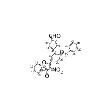 O=Cc1ccc(-c2cc(-c3oc4ccccc4c(=O)c3[N+](=O)[O-])ccc2OCc2ccccc2)cc1